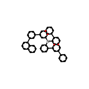 c1ccc(-c2cccc(-c3ccccc3N(c3cccc(-c4cccc(-c5cccc6ccccc56)c4)c3)c3ccccc3-c3ccccc3)c2)cc1